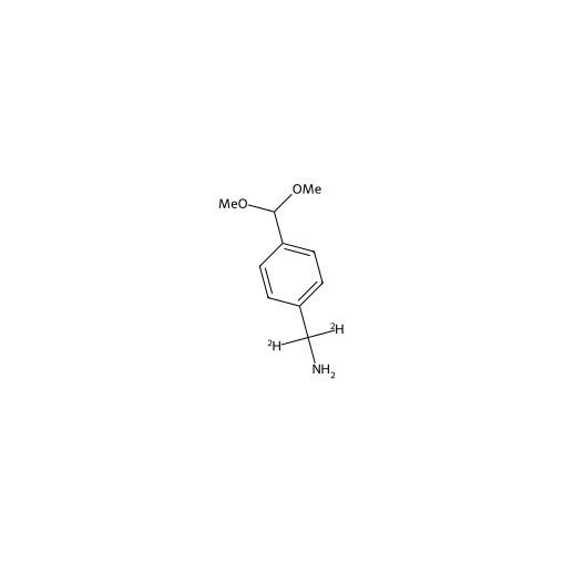 [2H]C([2H])(N)c1ccc(C(OC)OC)cc1